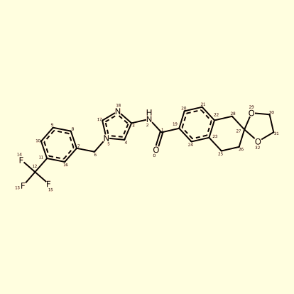 O=C(Nc1cn(Cc2cccc(C(F)(F)F)c2)cn1)c1ccc2c(c1)CCC1(C2)OCCO1